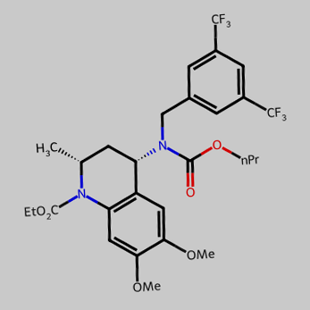 CCCOC(=O)N(Cc1cc(C(F)(F)F)cc(C(F)(F)F)c1)[C@H]1C[C@@H](C)N(C(=O)OCC)c2cc(OC)c(OC)cc21